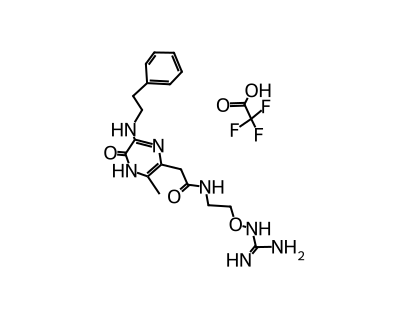 Cc1[nH]c(=O)c(NCCc2ccccc2)nc1CC(=O)NCCONC(=N)N.O=C(O)C(F)(F)F